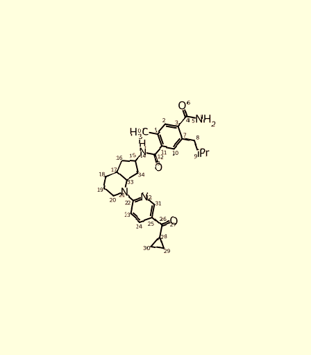 Cc1cc(C(N)=O)c(CC(C)C)cc1C(=O)NC1CC2CCCN(c3ccc(C(=O)C4CC4)cn3)C2C1